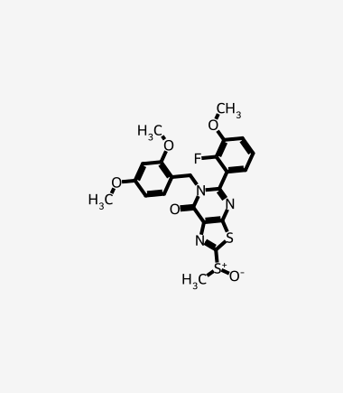 COc1ccc(Cn2c(-c3cccc(OC)c3F)nc3sc([S+](C)[O-])nc3c2=O)c(OC)c1